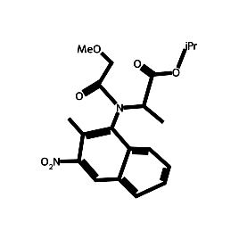 COCC(=O)N(c1c(C)c([N+](=O)[O-])cc2ccccc12)C(C)C(=O)OC(C)C